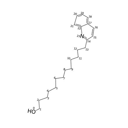 OCCCCCCCCCCCCCc1ccc2ccccc2n1